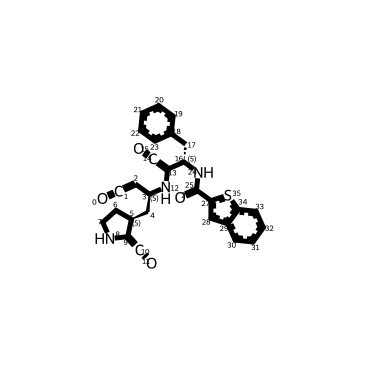 O=C=C[C@H](C[C@@H]1CCNC1=C=O)NC(=C=O)[C@H](Cc1ccccc1)NC(=O)c1cc2ccccc2s1